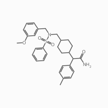 COc1cccc(CN(CC2CCC(C(C(N)=O)c3ccc(C)cc3)CC2)S(=O)(=O)c2ccccc2)c1